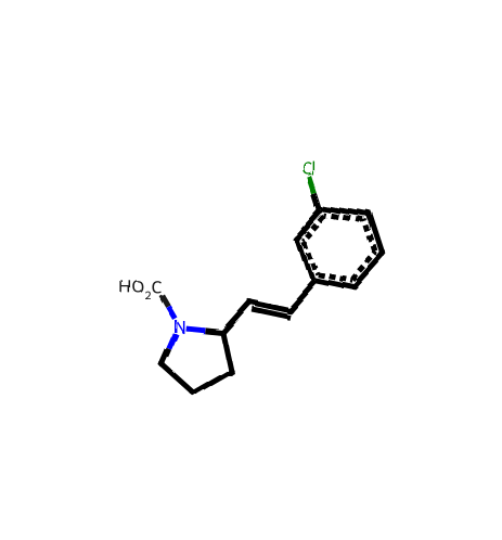 O=C(O)N1CCCC1C=Cc1cccc(Cl)c1